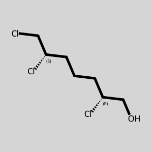 OC[C@H](Cl)CCC[C@H](Cl)CCl